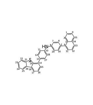 c1ccc2c(-c3ccc(Nc4ccc(-c5cccc6c5sc5ccccc56)cc4)cc3)cccc2c1